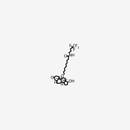 C[C@]12CCC(=O)C[C@@H]1CC[C@@H]1[C@@H]2[C@@H](OCCCCCCCCCC(=O)NCCCC(F)(F)C(F)(F)F)C[C@]2(C)[C@@H](O)CC[C@@H]12